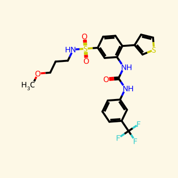 COCCCNS(=O)(=O)c1ccc(-c2ccsc2)c(NC(=O)Nc2cccc(C(F)(F)F)c2)c1